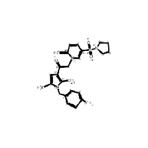 Cc1ccc(Cn2c(C)cc(C(=O)Cn3cc(S(=O)(=O)N4CCCC4)ccc3=O)c2C)cc1